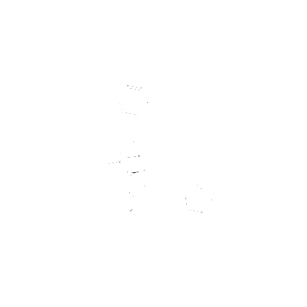 CC(C)(CCc1ccccc1)[C@]1(NC(=O)O)CC[C@H](c2nnco2)C[C@@H]1NC(=O)O